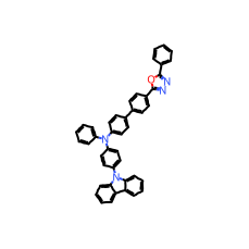 c1ccc(-c2nnc(-c3ccc(-c4ccc(N(c5ccccc5)c5ccc(-n6c7ccccc7c7ccccc76)cc5)cc4)cc3)o2)cc1